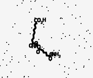 NOC(=O)CCCCC(=O)ONOC(=O)CCCCCCCCC(=O)O